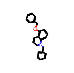 C1=Cc2c(OCc3ccccc3)cccc2N(Cc2ccccc2)C1